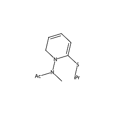 CC(=O)N(C)N1CC=CC=C1SC(C)C